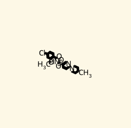 COc1cc(Cl)ccc1C(=O)NS(=O)(=O)c1ccc(N2CCC(C)CC2)nc1